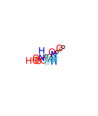 O=C(NCCS(=O)(=O)O)c1ccc(CC(C(=O)Nc2ccc(-c3cc4ccccc4o3)cc2)c2cc(C(F)(F)F)cc(C(F)(F)F)c2)cc1